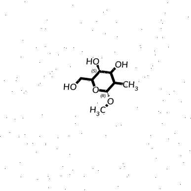 CO[C@@H]1OC(CO)[C@@H](O)C(O)C1C